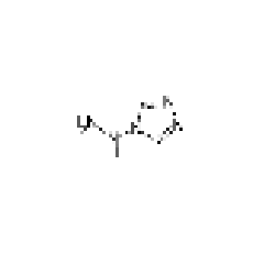 NNn1cnnc1